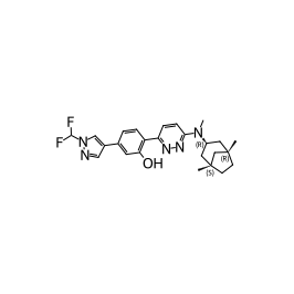 CN(c1ccc(-c2ccc(-c3cnn(C(F)F)c3)cc2O)nn1)[C@H]1C[C@]2(C)CC[C@](C)(C1)C2